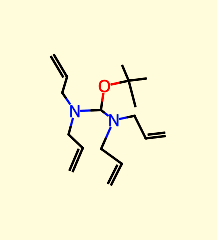 C=CCN(CC=C)C(OC(C)(C)C)N(CC=C)CC=C